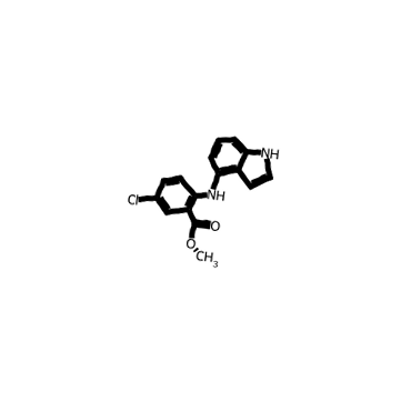 COC(=O)c1cc(Cl)ccc1Nc1cccc2[nH]ccc12